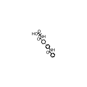 CC(C)(NC(=O)[C@H]1CC[C@H](c2ccc(NC(=O)c3ccccc3)cc2)CC1)C(=O)O